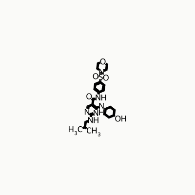 CC(C)CNc1ncc(C(=O)Nc2ccc(S(=O)(=O)N3CCOCC3)cc2)c(N[C@H]2CC[C@H](O)CC2)n1